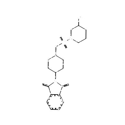 O=C1c2ccccc2C(=O)N1C1CCC(CS(=O)(=O)N2CCCC(O)C2)CC1